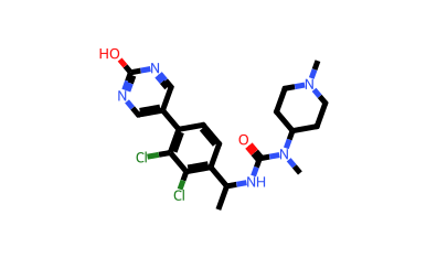 CC(NC(=O)N(C)C1CCN(C)CC1)c1ccc(-c2cnc(O)nc2)c(Cl)c1Cl